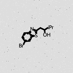 CC(C)C(O)Cc1nc2ccc(Br)cc2s1